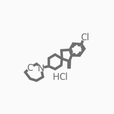 C=C1c2ccc(Cl)cc2CC12CCC(N1CCCCCC1)CC2.Cl